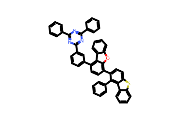 c1ccc(-c2nc(-c3ccccc3)nc(-c3cccc(-c4ccc(-c5ccc6sc7ccccc7c6c5-c5ccccc5)c5oc6ccccc6c45)c3)n2)cc1